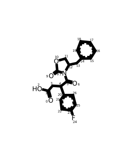 O=C(O)CC(C(=O)N1C(=O)OCC1Cc1ccccc1)c1ccc(F)cc1